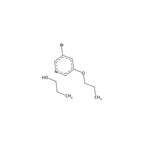 CCCO.CCCOc1cncc(Br)c1